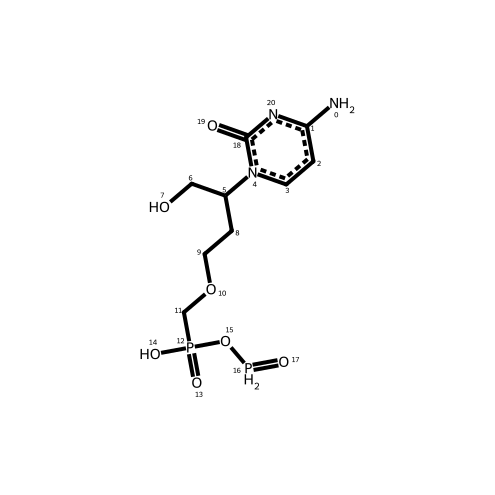 Nc1ccn(C(CO)CCOCP(=O)(O)O[PH2]=O)c(=O)n1